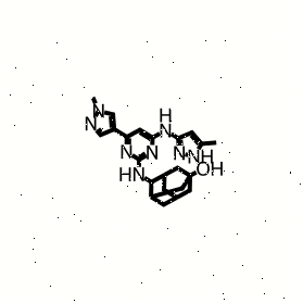 Cc1cc(Nc2cc(-c3cnn(C)c3)nc(NC3C4CC5CC3CC(O)(C5)C4)n2)n[nH]1